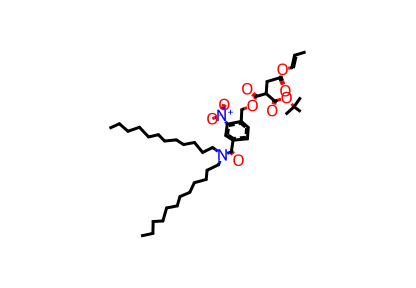 CC=COC(=O)CC(C(=O)OCc1ccc(C(=O)N(CCCCCCCCCCCC)CCCCCCCCCCCC)cc1[N+](=O)[O-])C(=O)OC(C)(C)C